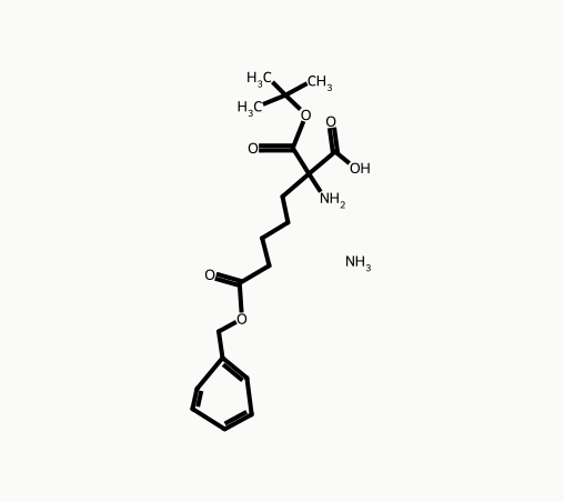 CC(C)(C)OC(=O)C(N)(CCCCC(=O)OCc1ccccc1)C(=O)O.N